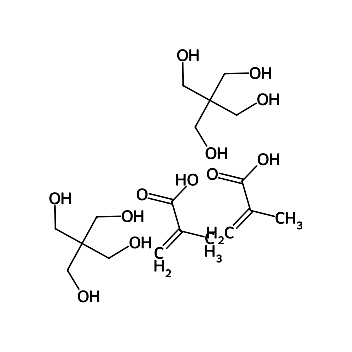 C=C(C)C(=O)O.C=C(C)C(=O)O.OCC(CO)(CO)CO.OCC(CO)(CO)CO